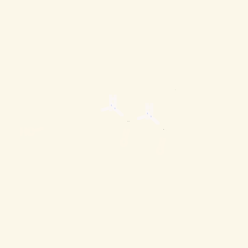 O=C(NC(=O)c1c(Cl)cccc1Cl)Nc1ccc(O)cc1